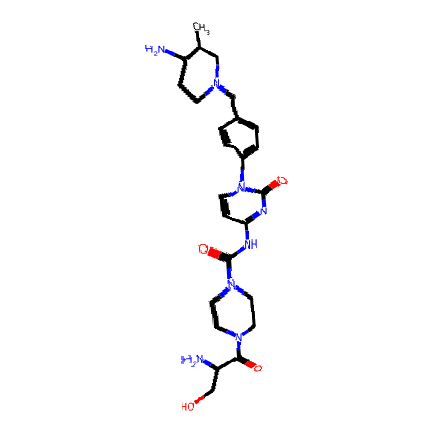 CC1CN(Cc2ccc(-n3ccc(NC(=O)N4CCN(C(=O)C(N)CO)CC4)nc3=O)cc2)CCC1N